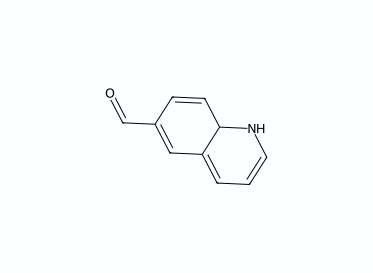 O=CC1=CC2=CC=CNC2C=C1